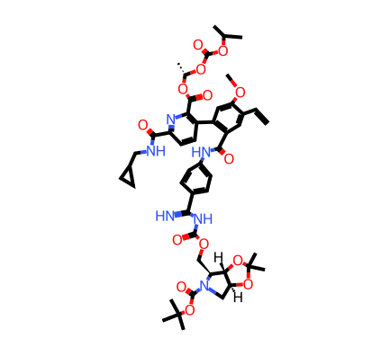 C=Cc1cc(C(=O)Nc2ccc(C(=N)NC(=O)OC[C@H]3[C@@H]4OC(C)(C)O[C@H]4CN3C(=O)OC(C)(C)C)cc2)c(-c2ccc(C(=O)NCC3CC3)nc2C(=O)O[C@H](C)OC(=O)OC(C)C)cc1OC